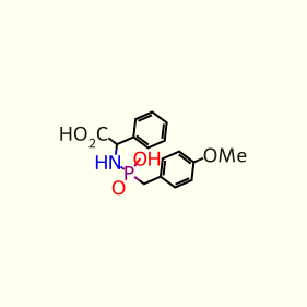 COc1ccc(CP(=O)(O)NC(C(=O)O)c2ccccc2)cc1